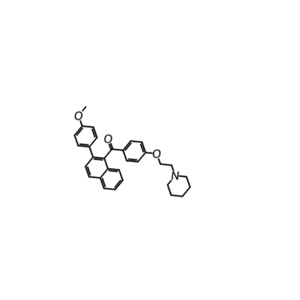 COc1ccc(-c2ccc3ccccc3c2C(=O)c2ccc(OCCN3CCCCC3)cc2)cc1